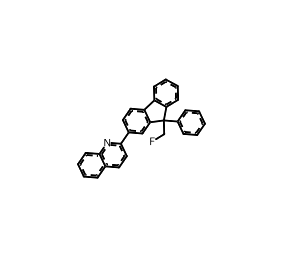 FCC1(c2ccccc2)c2ccccc2-c2ccc(-c3ccc4ccccc4n3)cc21